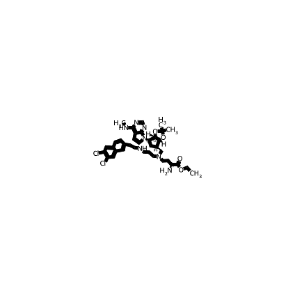 CCOC(=O)[C@@H](N)CCN(CCCNCCc1ccc2cc(Cl)c(Cl)cc2c1)C[C@H]1C[C@@H](n2ccc3c(NC)ncnc32)[C@@H]2OC(C)(C)O[C@H]12